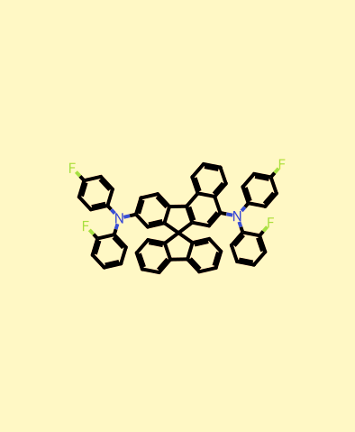 Fc1ccc(N(c2ccc3c(c2)C2(c4ccccc4-c4ccccc42)c2cc(N(c4ccc(F)cc4)c4ccccc4F)c4ccccc4c2-3)c2ccccc2F)cc1